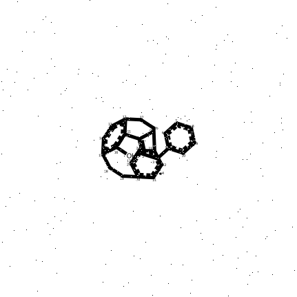 C/C(=C\[C@@H](C)c1ccccc1)c1c2ccc(c1O)CCc1ccc(cc1)CC2